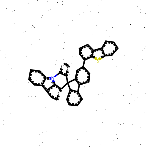 c1ccc2c(c1)-c1ccc(-c3cccc4c3sc3ccccc34)cc1C21c2ccccc2-n2c3ccccc3c3cccc1c32